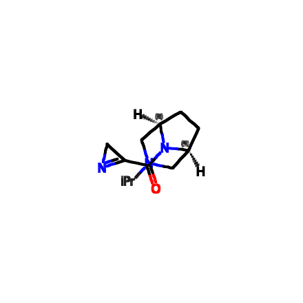 CC(C)N1C[C@H]2CC[C@@H](C1)N2C(=O)C1=NC1